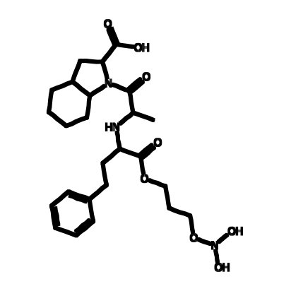 CC(NC(CCc1ccccc1)C(=O)OCCCON(O)O)C(=O)N1C(C(=O)O)CC2CCCCC21